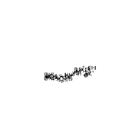 CC(CCC(=O)N(C)[C@@H](C)C(=O)O)SCC(=O)NCCNC(=O)O[C@@H](C)c1ccc(SSc2ccc([N+](=O)[O-])cn2)cc1